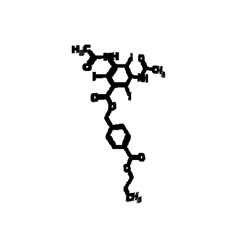 CCCOC(=O)c1ccc(COC(=O)c2c(I)c(NC(C)=O)c(I)c(NC(C)=O)c2I)cc1